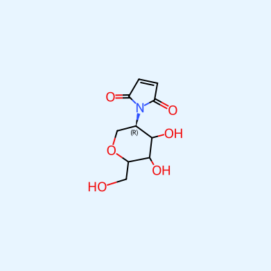 O=C1C=CC(=O)N1[C@@H]1COC(CO)C(O)C1O